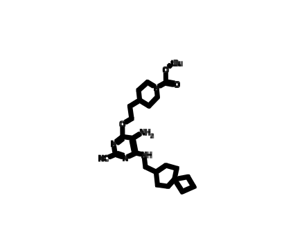 CC(C)(C)OC(=O)N1CCC(CCOc2nc(C#N)nc(NCC3CCC4(CCC4)CC3)c2N)CC1